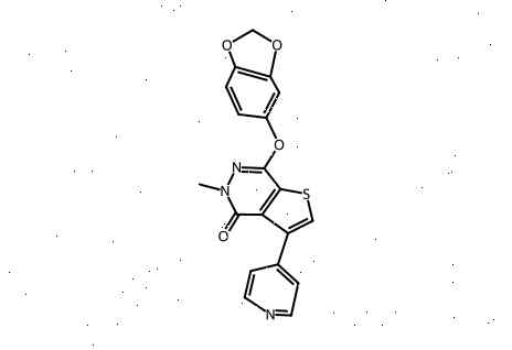 Cn1nc(Oc2ccc3c(c2)OCO3)c2scc(-c3ccncc3)c2c1=O